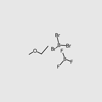 BrB(Br)Br.CCOC.FB(F)F